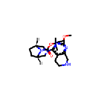 COc1nc2c(c(N3C[C@H]4CC[C@@H](C3)N4C(=O)OC(C)(C)C)n1)CCNC2